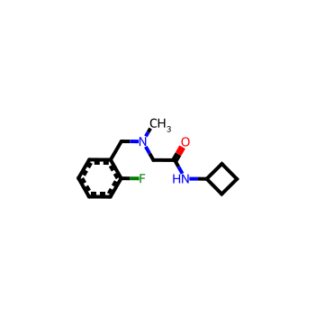 CN(CC(=O)NC1CCC1)Cc1ccccc1F